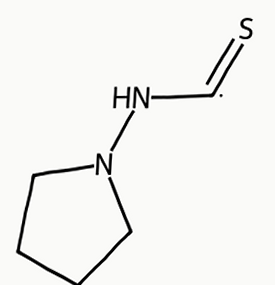 S=[C]NN1CCCC1